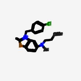 COCCN(C(C)=O)c1ccc2sc(C)[n+](Cc3ccc(Cl)cc3)c2c1